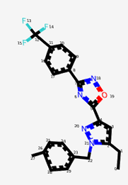 CCc1cc(-c2nc(-c3ccc(C(F)(F)F)cc3)no2)nn1Cc1ccc(C)cc1